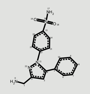 NCc1cc(-c2ccccc2)n(-c2ccc(S(N)(=O)=O)cc2)n1